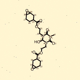 CN1C(=O)N(CCOC(=O)C2CCC3OC3C2)C(O)N(CCOC(=O)C2CCC3OC3C2)C1=O